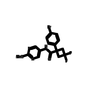 COc1ncc(NC(=O)C2(c3ccc(Br)cc3)CC(F)(F)C2)cn1